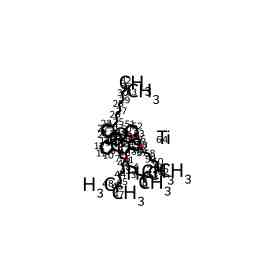 CC(C)CCCCCCc1ccccc1[O][Ti](=[O])([O]c1ccccc1CCCCCCC(C)C)([c]1ccccc1CCCCCCC(C)C)[c]1ccccc1CCCCCCC(C)C.[Ti]